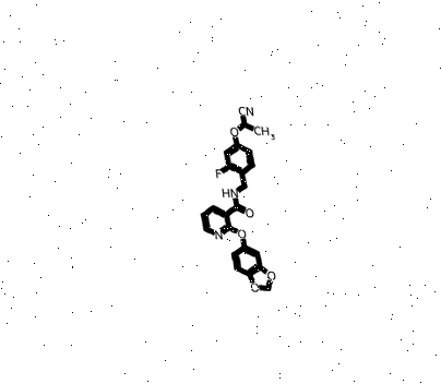 CC(C#N)Oc1ccc(CNC(=O)c2cccnc2Oc2ccc3c(c2)OCO3)c(F)c1